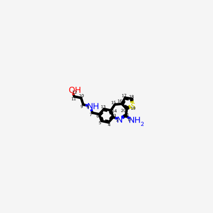 NC1=Nc2ccc(CNCCCO)cc2Cc2ccsc21